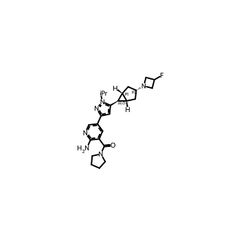 CC(C)n1nc(-c2cnc(N)c(C(=O)N3CCCC3)c2)cc1[C@H]1[C@@H]2C[C@H](N3CC(F)C3)C[C@@H]21